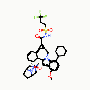 COc1ccc(C2CCCCC2)c2c1cc1n2CC2=C(C(=O)NS(=O)(=O)CCC(F)(F)F)C2=C2C=CC[C@@H](C(=O)N3C4CCC3CN(C)C4)C21